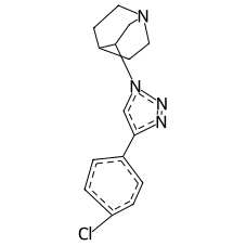 Clc1ccc(-c2cn(C3CN4CCC3CC4)nn2)cc1